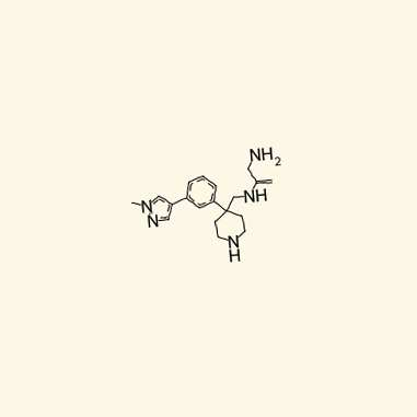 C=C(CN)NCC1(c2cccc(-c3cnn(C)c3)c2)CCNCC1